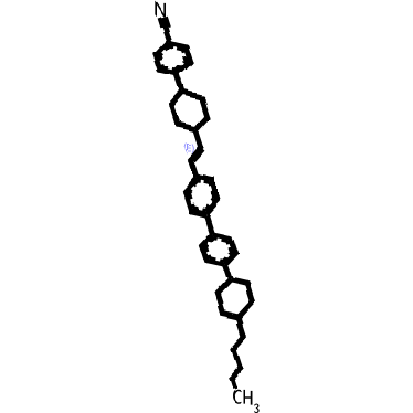 CCCCCC1CCC(c2ccc(-c3ccc(/C=C/C4CCC(c5ccc(C#N)cc5)CC4)cc3)cc2)CC1